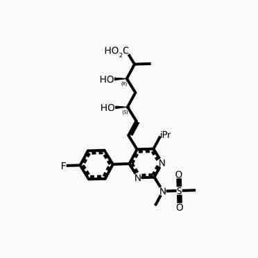 CC(C)c1nc(N(C)S(C)(=O)=O)nc(-c2ccc(F)cc2)c1C=C[C@@H](O)C[C@@H](O)C(C)C(=O)O